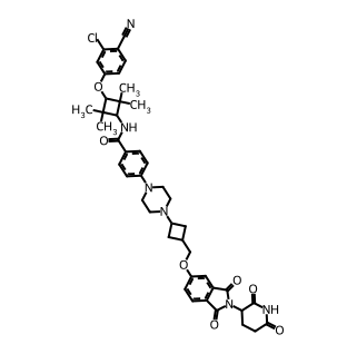 CC1(C)C(NC(=O)c2ccc(N3CCN(C4CC(COc5ccc6c(c5)C(=O)N(C5CCC(=O)NC5=O)C6=O)C4)CC3)cc2)C(C)(C)C1Oc1ccc(C#N)c(Cl)c1